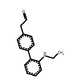 CCNc1ccccc1-c1ccc(CC=O)cc1